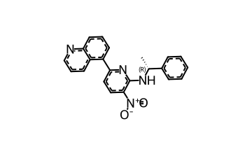 C[C@@H](Nc1nc(-c2cccc3ncccc23)ccc1[N+](=O)[O-])c1ccccc1